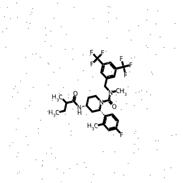 CCC(C)C(=O)N[C@@H]1CCN(C(=O)N(C)Cc2cc(C(F)(F)F)cc(C(F)(F)F)c2)[C@H](c2ccc(F)cc2C)C1